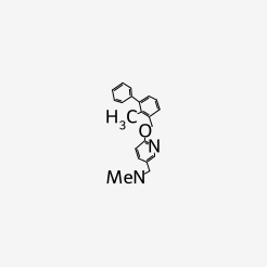 CNCc1ccc(OCc2cccc(-c3ccccc3)c2C)nc1